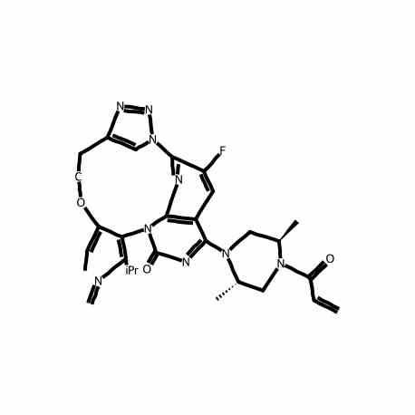 C=CC(=O)N1C[C@H](C)N(c2nc(=O)n3c4nc(c(F)cc24)-n2cc(nn2)CCOC(=C/C)/C3=C(\N=C)C(C)C)C[C@H]1C